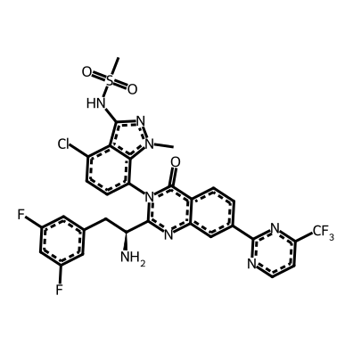 Cn1nc(NS(C)(=O)=O)c2c(Cl)ccc(-n3c([C@@H](N)Cc4cc(F)cc(F)c4)nc4cc(-c5nccc(C(F)(F)F)n5)ccc4c3=O)c21